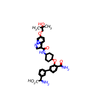 CC(C)(O)COc1ccc2c(C(=O)NC3CCC(Oc4cc(-c5cccc(C(N)C(=O)O)c5)ccc4C(N)=O)CC3)cnn2c1